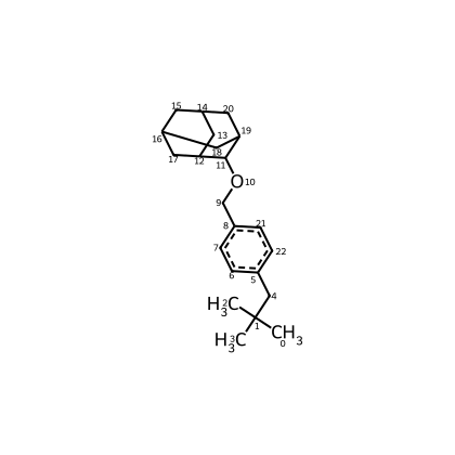 CC(C)(C)Cc1ccc(COC2C3CC4CC(C3)CC2C4)cc1